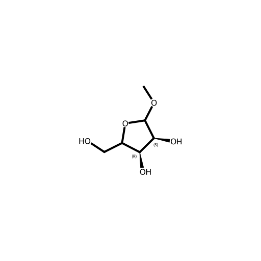 COC1OC(CO)[C@H](O)[C@@H]1O